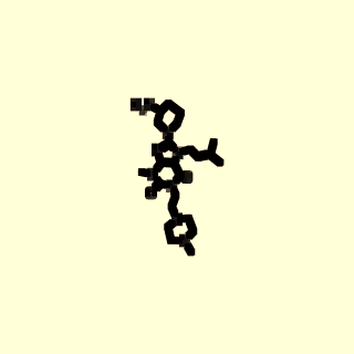 CC(C)=CCn1c(N2CCCC(N)C2)nc2c1c(=O)n(CCN1CCN(C)CC1)c(=O)n2C